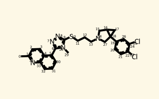 Cc1ccc2c(-c3nnc(SCCCN4CC5CC5(c5ccc(Cl)c(Cl)c5)C4)n3C)cccc2n1